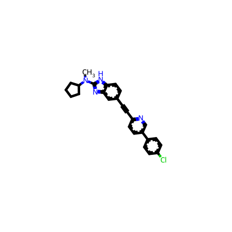 CN(c1nc2cc(C#Cc3ccc(-c4ccc(Cl)cc4)cn3)ccc2[nH]1)C1CCCC1